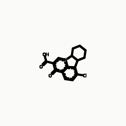 O=C(O)c1cn2c3c(c(Cl)ccc3c1=O)C1CCCCC12